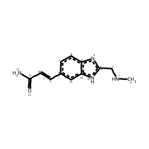 CNCc1nc2ccc(/C=C/C(N)=O)cc2[nH]1